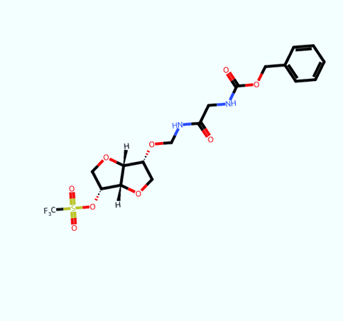 O=C(CNC(=O)OCc1ccccc1)NCO[C@@H]1CO[C@H]2[C@@H]1OC[C@H]2OS(=O)(=O)C(F)(F)F